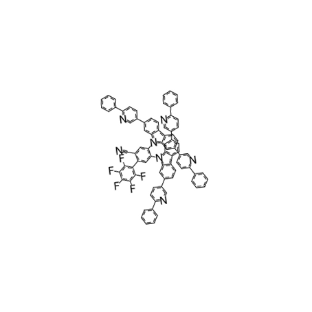 N#Cc1cc(-n2c3cc(-c4ccc(-c5ccccc5)nc4)ccc3c3ccc(-c4ccc(-c5ccccc5)nc4)cc32)c(-n2c3cc(-c4ccc(-c5ccccc5)nc4)ccc3c3ccc(-c4ccc(-c5ccccc5)nc4)cc32)cc1-c1c(F)c(F)c(F)c(F)c1F